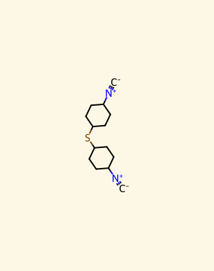 [C-]#[N+]C1CCC(SC2CCC([N+]#[C-])CC2)CC1